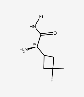 CCNC(=O)[C@H](N)C1CC(C)(F)C1